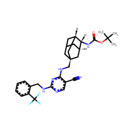 CC(C)(C)OC(=O)N[C@@H]1[C@@H]2CC3C[C@H]1C[C@@](CNc1nc(NCc4ccccc4C(F)(F)F)ncc1C#N)(C3)C2